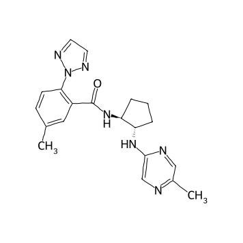 Cc1ccc(-n2nccn2)c(C(=O)N[C@H]2CCC[C@@H]2Nc2cnc(C)cn2)c1